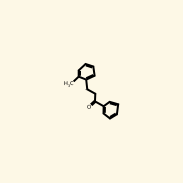 Cc1ccccc1[CH]CC(=O)c1ccccc1